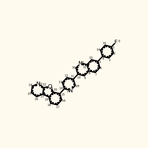 Fc1ccc(-c2ccc3cc(-c4ccc(-c5cccc6c5oc5ncccc56)nc4)cnc3c2)cc1